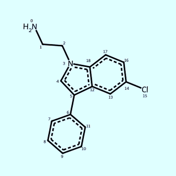 NCCn1cc(-c2ccccc2)c2cc(Cl)ccc21